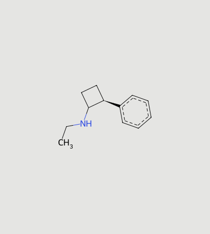 CCNC1CC[C@H]1c1ccccc1